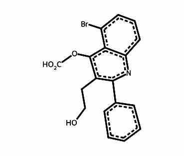 O=C(O)Oc1c(CCO)c(-c2ccccc2)nc2cccc(Br)c12